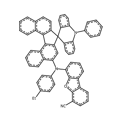 CCc1ccc(N(c2cc3c(c4ccccc24)-c2c(ccc4ccccc24)C32c3ccccc3N(c3ccccc3)c3ccccc32)c2cccc3c2oc2c(C#N)cccc23)cc1